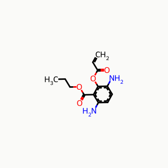 C=CC(=O)Oc1c(N)ccc(N)c1C(=O)OCCC